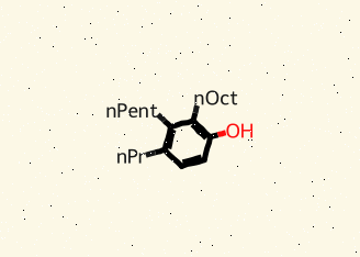 CCCCCCCCc1c(O)ccc(CCC)c1CCCCC